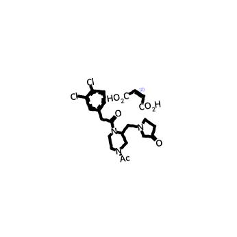 CC(=O)N1CCN(C(=O)Cc2ccc(Cl)c(Cl)c2)C(CN2CCC(=O)C2)C1.O=C(O)/C=C\C(=O)O